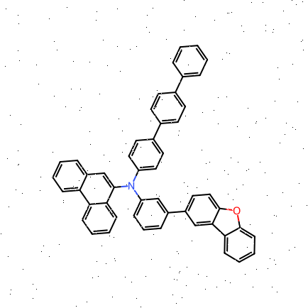 c1ccc(-c2ccc(-c3ccc(N(c4cccc(-c5ccc6oc7ccccc7c6c5)c4)c4cc5ccccc5c5ccccc45)cc3)cc2)cc1